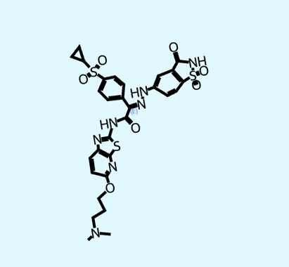 CN(C)CCCOc1ccc2nc(NC(=O)/C(=N/Nc3ccc4c(c3)C(=O)NS4(=O)=O)c3ccc(S(=O)(=O)C4CC4)cc3)sc2n1